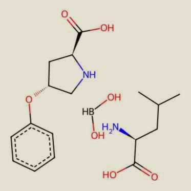 CC(C)C[C@H](N)C(=O)O.O=C(O)[C@@H]1C[C@@H](Oc2ccccc2)CN1.OBO